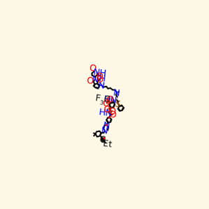 CCC12CC(C3=C(CN4CCN(c5ccc(C(=O)NS(=O)(=O)c6ccc(N[C@H](CCN(C)CCCCCCNc7cccc8c7C(=O)N(C7CCC(=O)NC7=O)C8=O)CSc7ccccc7)c(S(=O)(=O)C(F)(F)F)c6)cc5)CC4)CCC(C)(C)C3)(C1)C2